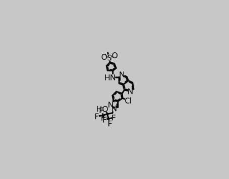 CS(=O)(=O)c1ccc(Nc2cc3c(-c4ccc5nn(CC(O)(C(F)(F)F)C(F)(F)F)cc5c4Cl)nccc3cn2)cc1